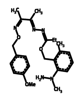 CCC(=NN=C(C)C(C)=NOCc1ccc(OC)cc1)OCc1c(C)cccc1N(C)N